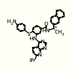 CC(C)c1ccc2c(Nc3cc(C(=O)N[C@@H](C)c4ccc5ccccc5c4)ccc3Sc3ccc(N)cc3)ncnc2n1